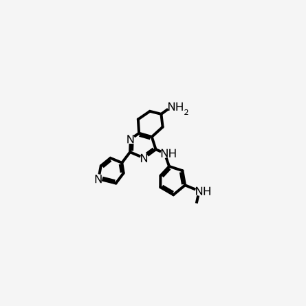 CNc1cccc(Nc2nc(-c3ccncc3)nc3c2CC(N)CC3)c1